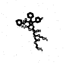 C=CCOC(=O)C[C@@H](C[C@H](O)CCn1c(-c2ccc(F)cc2)c(-c2ccccc2)c(C(=O)Nc2ccccc2)c1C(C)C)OCC=C